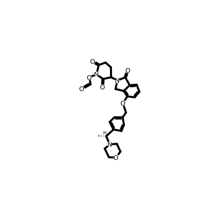 C[C@H](c1ccc(COc2cccc3c2CN(C2CCC(=O)N(OC=O)C2=O)C3=O)cc1)N1CCOCC1